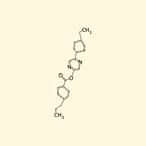 CCCc1ccc(C(=O)Oc2cnc(-c3ccc(CC)cc3)cn2)cc1